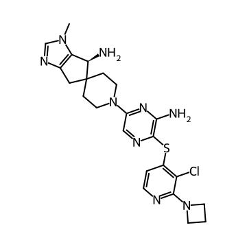 Cn1cnc2c1[C@@H](N)C1(CCN(c3cnc(Sc4ccnc(N5CCC5)c4Cl)c(N)n3)CC1)C2